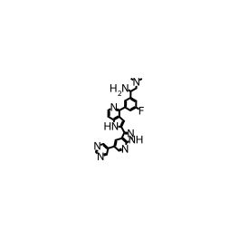 CN(C)CC(N)c1cc(F)cc(-c2nccc3[nH]c(-c4n[nH]c5ncc(-c6cncnc6)cc45)cc23)c1